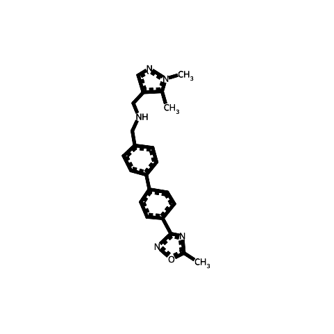 Cc1nc(-c2ccc(-c3ccc(CNCc4cnn(C)c4C)cc3)cc2)no1